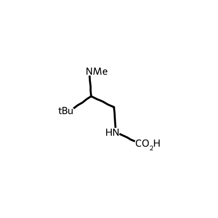 CNC(CNC(=O)O)C(C)(C)C